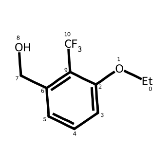 CCOc1cccc(CO)c1C(F)(F)F